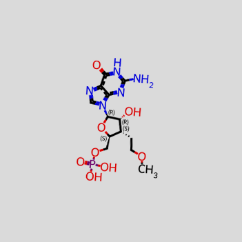 COCC[C@H]1[C@@H](O)[C@H](n2cnc3c(=O)[nH]c(N)nc32)O[C@@H]1COP(=O)(O)O